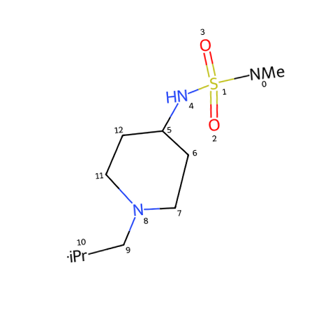 CNS(=O)(=O)NC1CCN(C[C](C)C)CC1